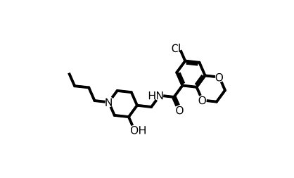 CCCCN1CCC(CNC(=O)c2cc(Cl)cc3c2OCCO3)C(O)C1